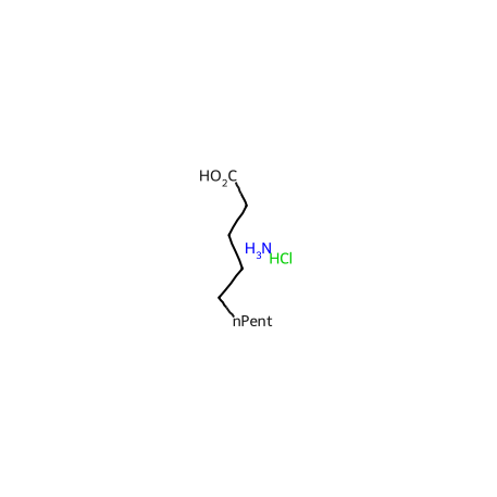 CCCCCCCCCC(=O)O.Cl.N